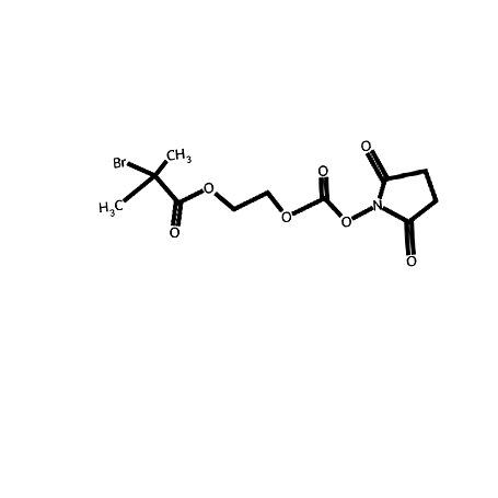 CC(C)(Br)C(=O)OCCOC(=O)ON1C(=O)CCC1=O